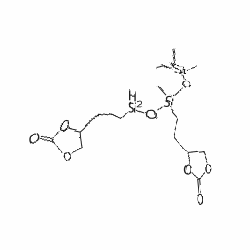 C[Si](C)(C)O[Si](C)(CCC1COC(=O)O1)O[SiH2]CCC1COC(=O)O1